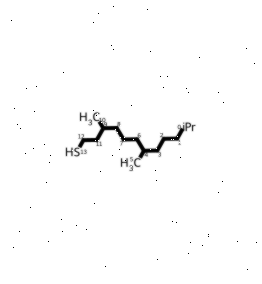 CC(C)CCCC(C)CCCC(C)CCS